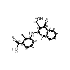 Cc1c(Nc2nc3ccccn3c(=O)c2CO)cccc1C(=O)O